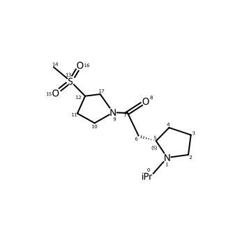 CC(C)N1CCC[C@H]1CC(=O)N1CCC(S(C)(=O)=O)C1